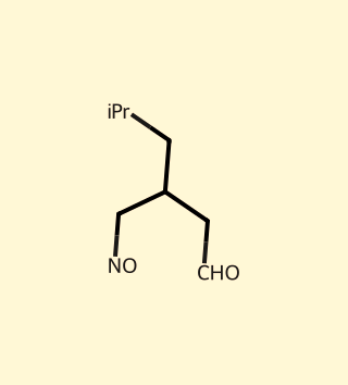 CC(C)CC(CC=O)CN=O